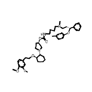 COc1ccc(CCO[C@@H]2CCCC[C@H]2N2CC[C@@H](OC(=O)NCCCCN(C)CC[C@@H](Oc3ccc(C)cc3)c3ccccc3)C2)cc1OC